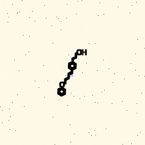 OCCCc1ccc(/C=C/CCCOc2ccccc2)cc1